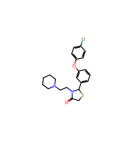 O=C1CSC(c2cccc(Oc3ccc(Cl)cc3)c2)N1CCN1CCCCC1